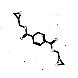 O=C(OCC1CO1)C1=CCC(C(=O)OCC2CO2)C=C1